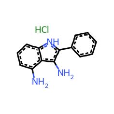 Cl.Nc1cccc2[nH]c(-c3ccccc3)c(N)c12